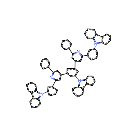 c1ccc(-c2cc(-c3cc(-c4cc(-c5ccccc5)nc(-c5cccc(-n6c7ccccc7c7ccccc76)c5)c4)cc(-n4c5ccccc5c5ccccc54)c3)cc(-c3cccc(-n4c5ccccc5c5ccccc54)c3)n2)cc1